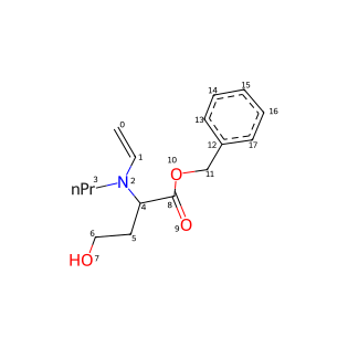 C=CN(CCC)C(CCO)C(=O)OCc1ccccc1